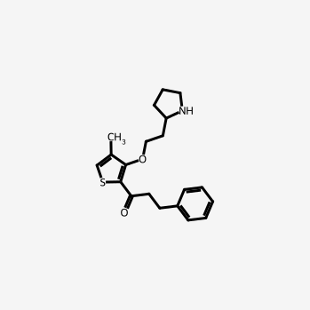 Cc1csc(C(=O)CCc2ccccc2)c1OCCC1CCCN1